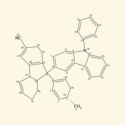 C[C@@H]1C=CC(C2(c3ccc4c(c3)c3ccccc3n4-c3ccccc3)C3=C(C=C(C#N)CC3)C3C=CCCC32)=CC1